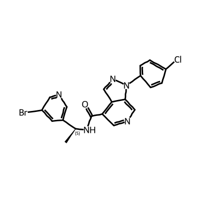 C[C@H](NC(=O)c1cncc2c1cnn2-c1ccc(Cl)cc1)c1cncc(Br)c1